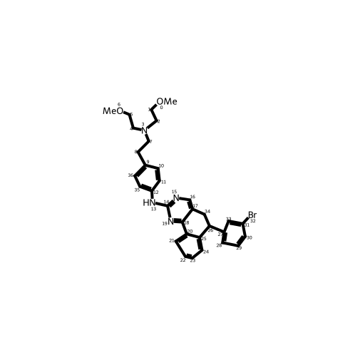 COCCN(CCOC)CCc1ccc(Nc2ncc3c(n2)-c2ccccc2C(c2cccc(Br)c2)C3)cc1